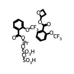 CC(C)OC(=O)c1ccccc1OC(F)(F)F.O=C(OC1CCO1)c1ccccc1OC(F)(F)F.O=S(=O)(O)Cl.O=S(=O)(O)Cl